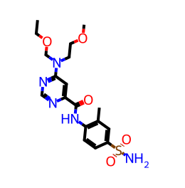 CCOCN(CCOC)c1cc(C(=O)Nc2ccc(S(N)(=O)=O)cc2C)ncn1